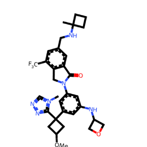 COC1CC(c2cc(NC3COC3)cc(N3Cc4c(cc(CNC5(C)CCC5)cc4C(F)(F)F)C3=O)c2)(c2nncn2C)C1